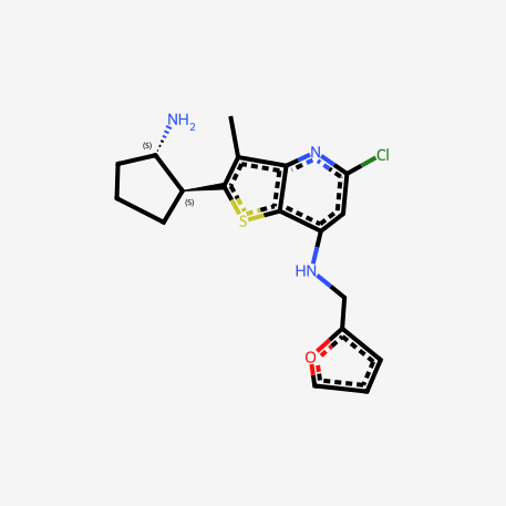 Cc1c([C@H]2CCC[C@@H]2N)sc2c(NCc3ccco3)cc(Cl)nc12